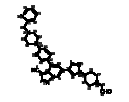 N#Cc1cnn2cc(-c3cnn(C4CCN(CC=O)CC4)c3)cc(-c3ccc(N4CCN(Cc5ccccn5)CC4)nc3)c12